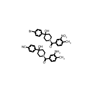 Cc1ccc(C(=O)N2CCC(O)(c3ccc(Br)cc3)CC2)cc1[N+](=O)[O-].Cc1ccc(C(=O)N2CCC(O)(c3ccc(C#N)cc3)CC2)cc1N